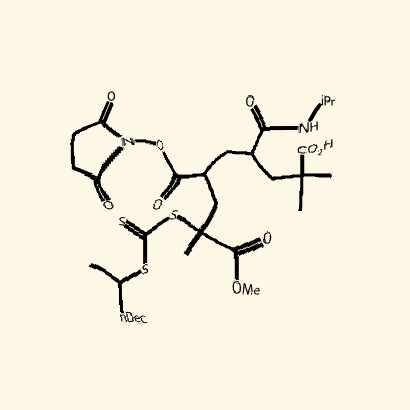 CCCCCCCCCCC(C)SC(=S)SC(C)(CC(CC(CC(C)(C)C(=O)O)C(=O)NC(C)C)C(=O)ON1C(=O)CCC1=O)C(=O)OC